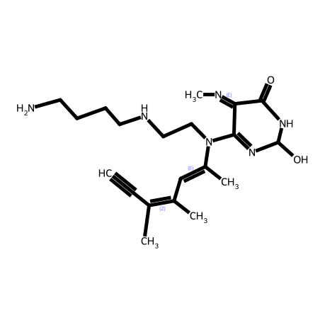 C#C/C(C)=C(C)\C=C(/C)N(CCNCCCCN)C1=NC(O)NC(=O)/C1=N/C